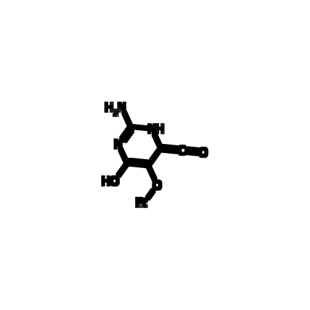 CCOC1=C(O)N=C(N)NC1=C=O